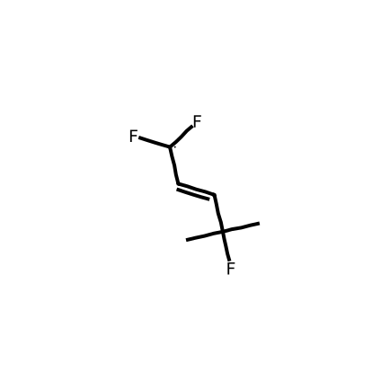 CC(C)(F)C=C[C](F)F